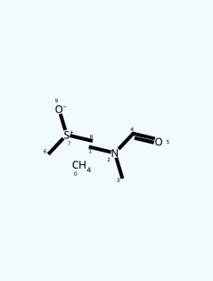 C.CN(C)C=O.C[S+](C)[O-]